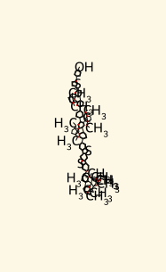 CCC12CCC(CC)(CC1)C21c2cc(-c3ccc4c(c3)C3(c5cc(-c6ccc(-c7ccc(O)cc7)s6)ccc5-4)C4(C)CCC3(C)CC4)ccc2-c2cc3c(cc21)-c1ccc(-c2ccc4c(c2)sc2cc5c(cc24)sc2cc(-c4ccc6c(c4)C4(c7cc(C)ccc7-6)C6(C(C)C)CC(C)(C)CC4(C(C)C)C(C)(C)C6)ccc25)cc1C31C2(CC)CCC1(CC)CC2